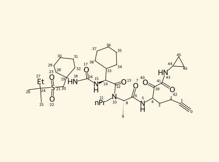 C#CCCC(NC(=O)[C@H](C)N(CCC)C(=O)[C@@H](NC(=O)NC1(CS(=O)(=O)C(C)(C)CC)CCCCC1)C1CCCCC1)C(=O)C(=O)NC1CC1